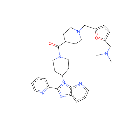 CN(C)Cc1ccc(CN2CCC(C(=O)N3CCC(n4c(-c5ccccn5)nc5cccnc54)CC3)CC2)o1